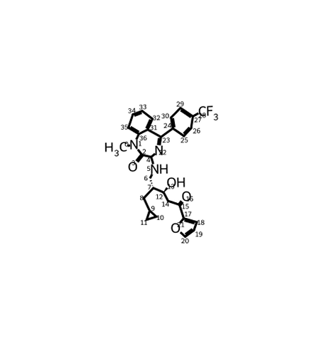 CN1C(=O)C(NC[C@@H](CC2CC2)[C@@H](O)CC(=O)c2ccco2)N=C(c2ccc(C(F)(F)F)cc2)c2ccccc21